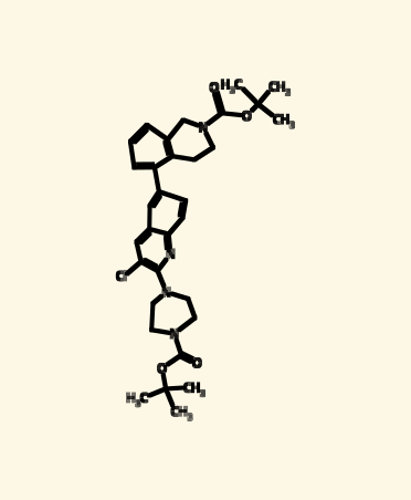 CC(C)(C)OC(=O)N1CCN(c2nc3ccc(-c4cccc5c4CCN(C(=O)OC(C)(C)C)C5)cc3cc2Cl)CC1